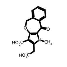 Cn1c(CC(=O)O)c(C(=O)O)c2c1C(=O)c1ccccc1CO2